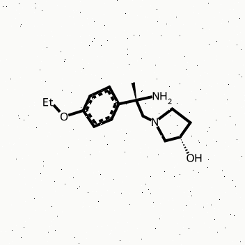 CCOc1ccc([C@](C)(N)CN2CC[C@H](O)C2)cc1